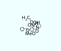 C=CCOC(=O)N1c2cc(OCc3ccccc3)c(OC)cc2C(=O)N2CCCC[C@H]2C1O